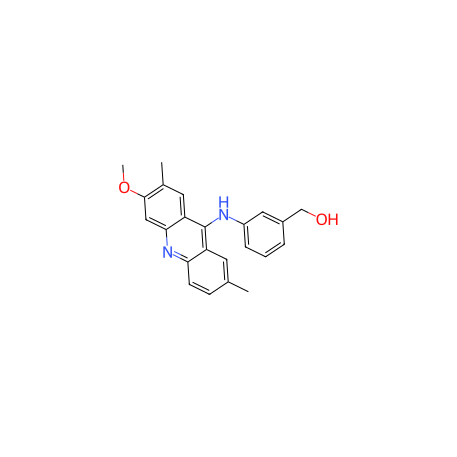 COc1cc2nc3ccc(C)cc3c(Nc3cccc(CO)c3)c2cc1C